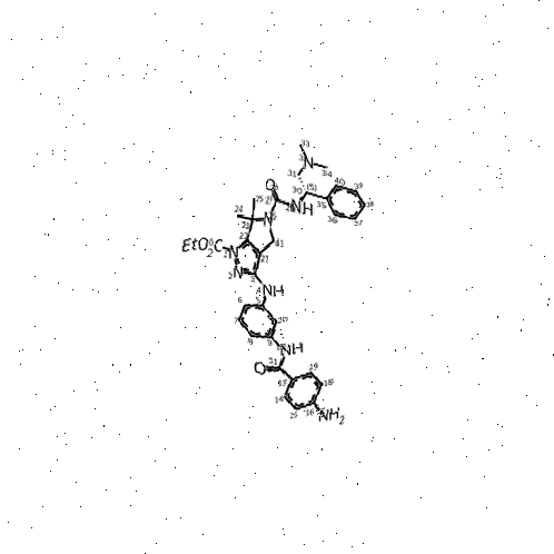 CCOC(=O)n1nc(Nc2cccc(NC(=O)c3ccc(N)cc3)c2)c2c1C(C)(C)N(C(=O)N[C@H](CN(C)C)c1ccccc1)C2